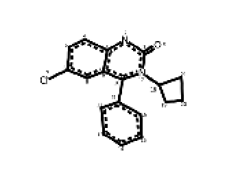 O=c1nc2ccc(Cl)cc2c(-c2ccccc2)n1C1CCC1